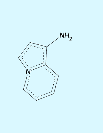 Nc1ccn2ccccc12